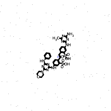 Cc1nc(N)nc(Nc2ccc(/C=C/c3ccc(Nc4nc(Nc5ccccc5)nc(N5CCOCC5)n4)cc3S(=O)(=O)O)c(S(=O)(=O)O)c2)n1